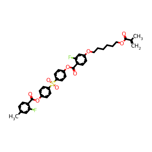 C=C(C)C(=O)OCCCCCCOc1ccc(C(=O)Oc2ccc(S(=O)(=O)c3ccc(OC(=O)c4ccc(C)cc4F)cc3)cc2)c(F)c1